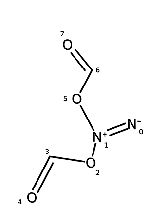 [N-]=[N+](OC=O)OC=O